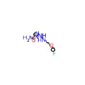 NC(=O)c1ccnc(NCCNCCCCOc2ccc(F)cc2)n1